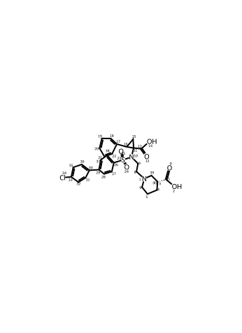 O=C(O)[C@@H]1CCCN(CCN(C2(C(=O)O)CC2c2ccccc2)S(=O)(=O)c2ccc(-c3ccc(Cl)cc3)cc2)C1